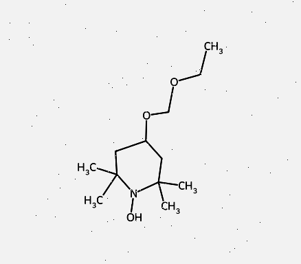 CCOCOC1CC(C)(C)N(O)C(C)(C)C1